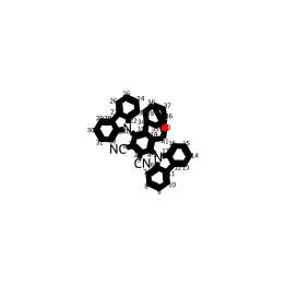 N#Cc1c(C#N)c(-n2c3ccccc3c3ccccc32)c2c(c1-n1c3ccccc3c3ccccc31)C1CC3CC(C1)CC2C3